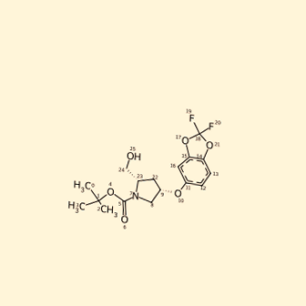 CC(C)(C)OC(=O)N1C[C@@H](Oc2ccc3c(c2)OC(F)(F)O3)C[C@H]1CO